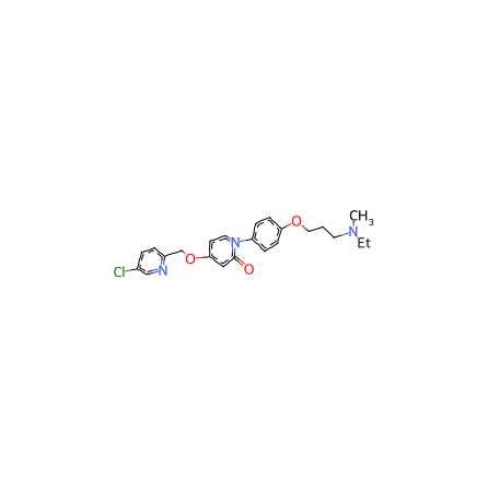 CCN(C)CCCOc1ccc(-n2ccc(OCc3ccc(Cl)cn3)cc2=O)cc1